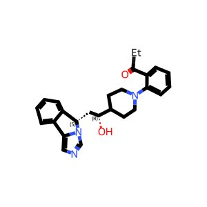 CCC(=O)c1ccccc1N1CCC([C@H](O)C[C@H]2c3ccccc3-c3cncn32)CC1